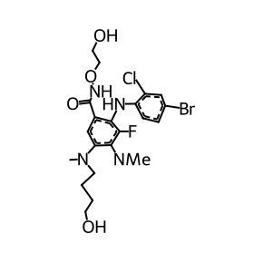 CNc1c(N(C)CCCCO)cc(C(=O)NOCCO)c(Nc2ccc(Br)cc2Cl)c1F